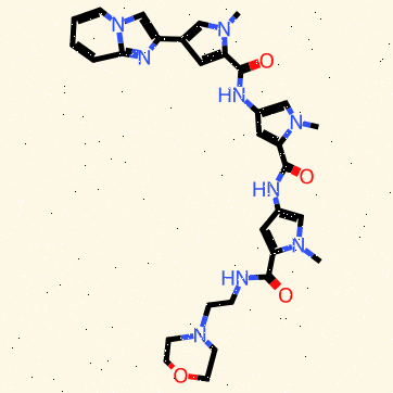 Cn1cc(NC(=O)c2cc(NC(=O)c3cc(-c4cn5ccccc5n4)cn3C)cn2C)cc1C(=O)NCCN1CCOCC1